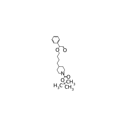 CC(C)(C)OC(=O)N1CCC(CCCCOC(C=O)c2ccccc2)CC1